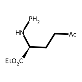 CCOC(=O)[C@H](CCC(C)=O)NP